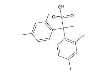 Cc1ccc(C(C)(c2ccc(C)cc2C)S(=O)(=O)O)c(C)c1